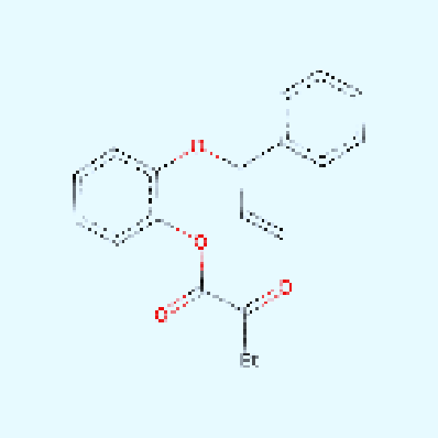 C=CC(Oc1ccccc1OC(=O)C(=O)CC)c1ccccc1